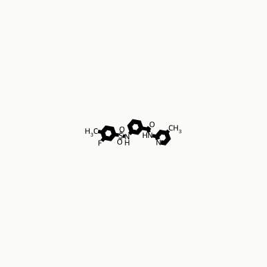 Cc1ccnc(NC(=O)c2cccc(NS(=O)(=O)c3ccc(C)c(F)c3)c2)c1